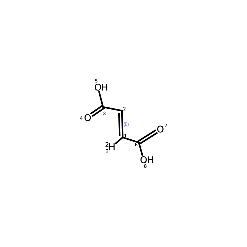 [2H]/C(=C\C(=O)O)C(=O)O